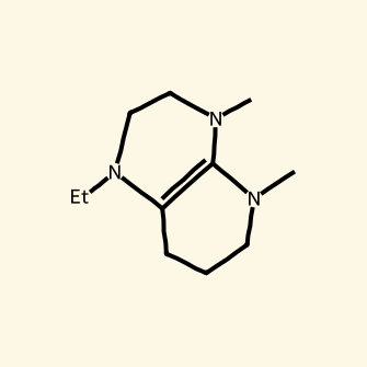 CCN1CCN(C)C2=C1CCCN2C